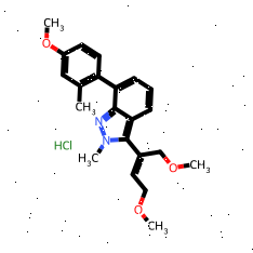 COCC=C(COC)c1c2cccc(-c3ccc(OC)cc3C)c2nn1C.Cl